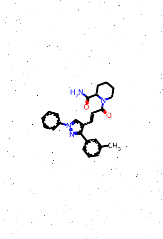 Cc1cccc(-c2nn(-c3ccccc3)cc2/C=C/C(=O)N2CCCCC2C(N)=O)c1